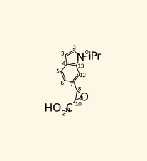 CC(C)n1ccc2ccc(C3OC3C(=O)O)cc21